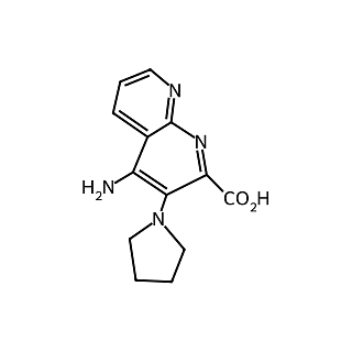 Nc1c(N2CCCC2)c(C(=O)O)nc2ncccc12